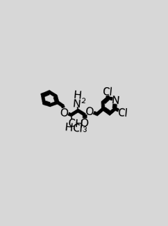 C[C@H](OCc1ccccc1)[C@H](N)C(=O)OCc1cc(Cl)nc(Cl)c1.Cl